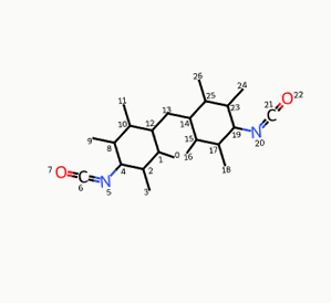 CC1C(C)C(N=C=O)C(C)C(C)C1CC1C(C)C(C)C(N=C=O)C(C)C1C